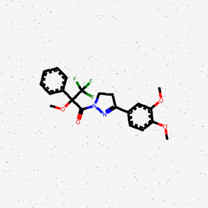 COc1ccc(C2=NN(C(=O)C(OC)(c3ccccc3)C(F)(F)F)CC2)cc1OC